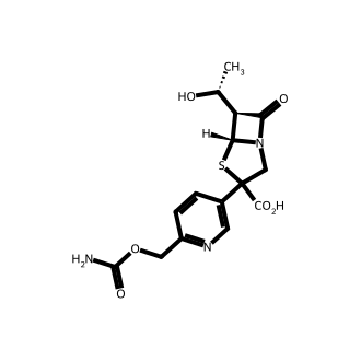 C[C@@H](O)[C@H]1C(=O)N2CC(C(=O)O)(c3ccc(COC(N)=O)nc3)S[C@H]12